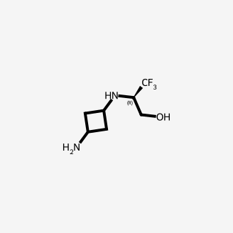 NC1CC(N[C@H](CO)C(F)(F)F)C1